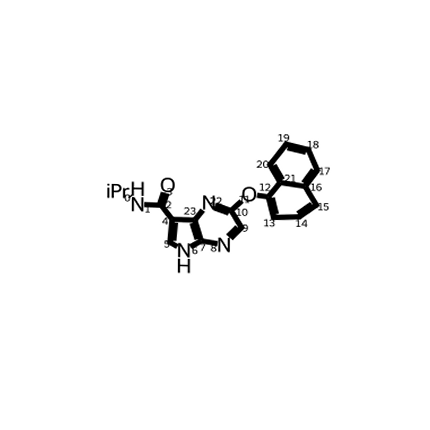 CC(C)NC(=O)c1c[nH]c2ncc(Oc3cccc4ccccc34)nc12